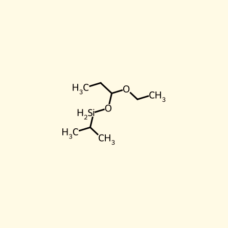 CCOC(CC)O[SiH2]C(C)C